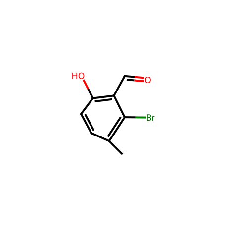 Cc1ccc(O)c(C=O)c1Br